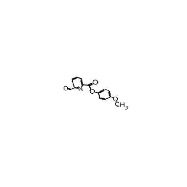 COc1ccc(OC(=O)c2cccc(C=O)n2)cc1